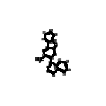 Cc1cc2c(cc1-c1cccc3ccccc13)oc1ccccc12